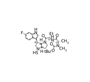 CC[C@H](NC(=O)[C@H](C)N(C)C(=O)OC(C)(C)C)C(=O)N1CC[C@@H]2[C@H]1[C@H](c1c[nH]c3cc(F)ccc13)CN2S